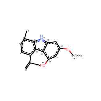 C=C(C)c1ccc(C)c2[nH]c3cc(OCCCCC)cc(O)c3c12